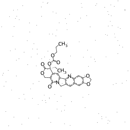 CCCOC(=O)O[C@]1(CC)C(=O)OCc2c1cc1n(c2=O)Cc2cc3cc4c(cc3nc2-1)OCO4